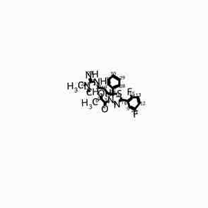 C[C@H](O)C(=O)N1N=C(c2cc(F)ccc2F)SC1(CCCNC(=N)N(C)C)c1ccccc1